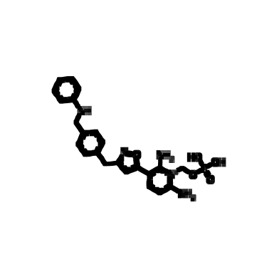 Nc1ccc(-c2cc(Cc3ccc(CNc4ccccc4)cc3)no2)c(N)[n+]1COP(=O)(O)O